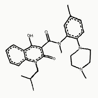 Cc1ccc(N2CCN(C)CC2)c(N(C)C(=O)c2c(O)c3ccccc3n(CC(C)C)c2=O)c1